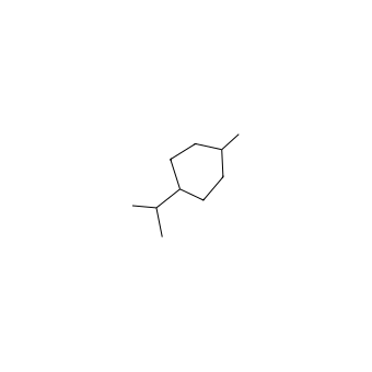 CC1CCC(C(C)C)CC1